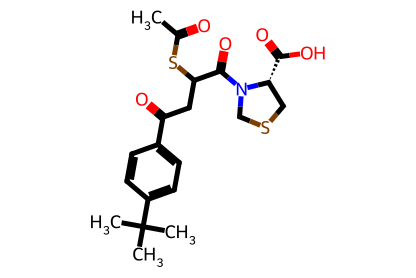 CC(=O)SC(CC(=O)c1ccc(C(C)(C)C)cc1)C(=O)N1CSC[C@H]1C(=O)O